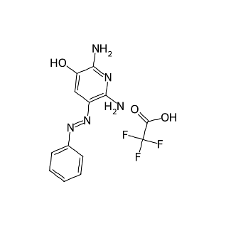 Nc1nc(N)c(/N=N/c2ccccc2)cc1O.O=C(O)C(F)(F)F